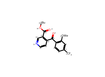 COc1cc(C(F)(F)F)ccc1C(=O)c1ccncc1C(=O)OC(C)(C)C